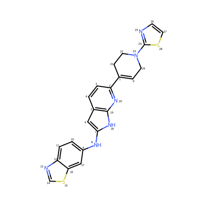 C1=C(c2ccc3cc(Nc4ccc5ncsc5c4)[nH]c3n2)CCN(c2nccs2)C1